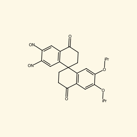 CC(C)Oc1cc2c(cc1OC(C)C)C1(CCC(=O)c3cc(N=O)c(N=O)cc31)CCC2=O